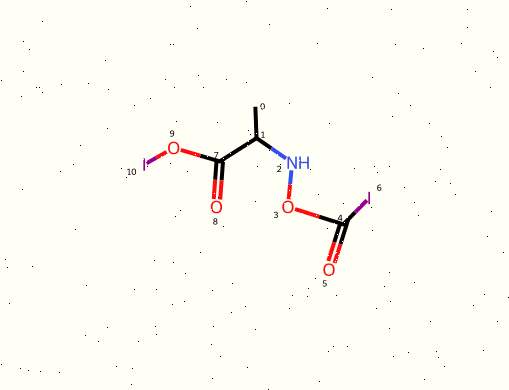 CC(NOC(=O)I)C(=O)OI